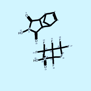 O=C1C2C3C=CC(C3)C2C(=O)N1O.O=S(=O)(O)C(F)(F)C(F)(C(F)(F)F)C(F)(F)F